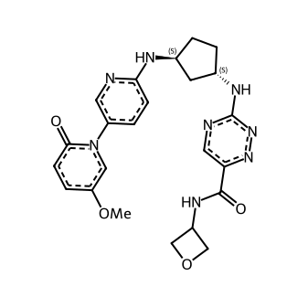 COc1ccc(=O)n(-c2ccc(N[C@H]3CC[C@H](Nc4ncc(C(=O)NC5COC5)nn4)C3)nc2)c1